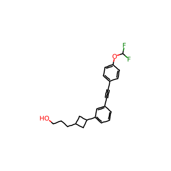 OCCCC1CC(c2cccc(C#Cc3ccc(OC(F)F)cc3)c2)C1